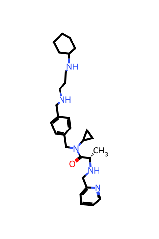 C[C@H](NCc1ccccn1)C(=O)N(Cc1ccc(CNCCCNC2CCCCC2)cc1)C1CC1